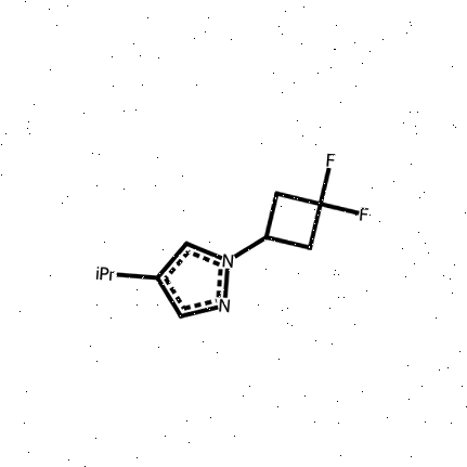 CC(C)c1cnn(C2CC(F)(F)C2)c1